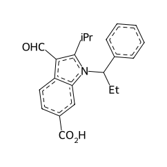 CCC(c1ccccc1)n1c(C(C)C)c(C=O)c2ccc(C(=O)O)cc21